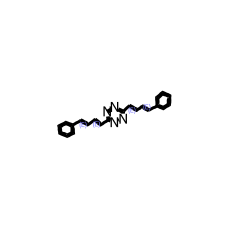 C(/C=C/c1nnc(/C=C/C=C/c2ccccc2)nn1)=C\c1ccccc1